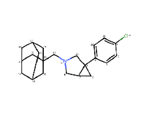 Clc1ccc(C23CC2CN(CC24CC5CC(CC(C5)C2)C4)C3)cc1